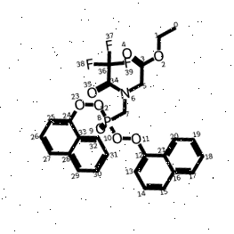 CCOC(=O)CN(CP(=O)(OOc1cccc2ccccc12)OOc1cccc2ccccc12)C(=O)C(F)(F)F